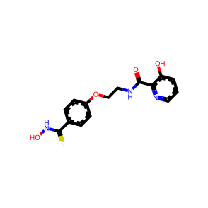 O=C(NCCOc1ccc(C(=S)NO)cc1)c1ncccc1O